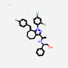 C=C(NC(CO)c1ccccc1)c1nn(-c2ccc(Cl)cc2Cl)c2c1CCCC/C2=C\c1ccc(F)cc1